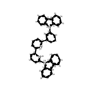 c1cc(-c2cccc(-c3cccc(-n4c5ccccc5c5ccccc54)n3)n2)cc(-n2c3ccccc3c3ccccc32)c1